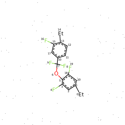 CCc1cc(F)c(OC(F)(F)c2ccc(CC)c(F)c2)c(F)c1